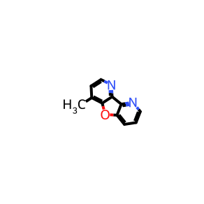 Cc1ccnc2c1oc1cccnc12